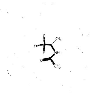 CC(=O)N[C@@H](C)C(F)(F)F